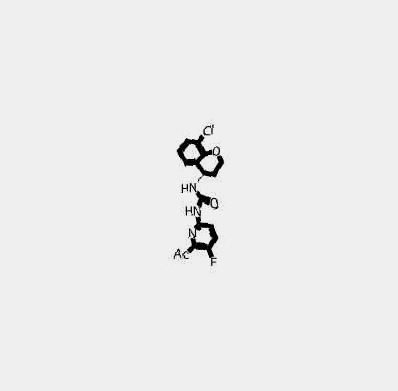 CC(=O)c1nc(NC(=O)N[C@H]2CCOc3c(Cl)cccc32)ccc1F